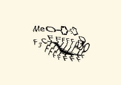 COc1ccc([S+]2CCCC2)cc1.O=S(=O)([O-])C(F)(F)C(F)(F)C(F)(F)C(F)(F)C(F)(F)C(F)(F)C(F)(F)C(F)(F)F